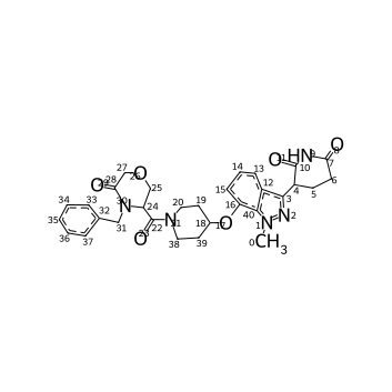 Cn1nc(C2CCC(=O)NC2=O)c2cccc(OC3CCN(C(=O)C4COCC(=O)N4Cc4ccccc4)CC3)c21